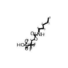 CCCCCNC(=O)OCC(F)(F)S(=O)(=O)O